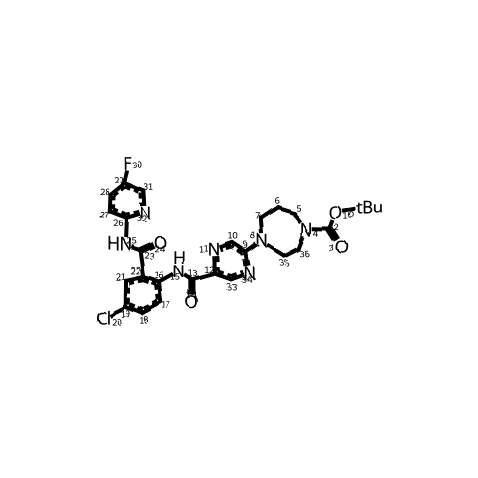 CC(C)(C)OC(=O)N1CCCN(c2cnc(C(=O)Nc3ccc(Cl)cc3C(=O)Nc3ccc(F)cn3)cn2)CC1